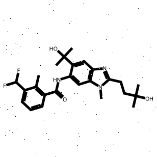 Cc1c(C(=O)Nc2cc3c(cc2C(C)(C)O)nc(CCC(C)(C)O)n3C)cccc1C(F)F